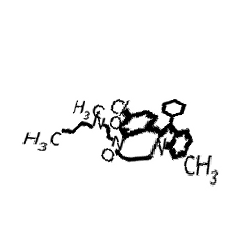 CCCCCN(C)C(=O)CN1C(=O)CCn2c(c(C3CCCCC3)c3ccc(C)cc32)-c2ccc(Cl)cc21